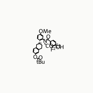 CCOC(=O)CN(C(=O)c1ccc(O)c(F)c1)c1cc(OC)ccc1[C@@H]1CCc2cc(OC(=O)C(C)(C)C)ccc2C1